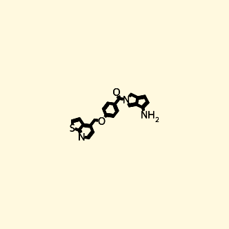 NC1=CC=C2CN(C(=O)c3ccc(OCc4ccnc5sccc45)cc3)C=C12